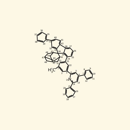 Cc1cc(-c2cc(-c3ccccc3)cc(-c3ccccc3)n2)cc(-c2cccc3c2C2(c4cc(-c5ccccc5)ccc4-3)C3CC4CC(C3)CC2C4)c1